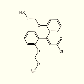 COCOc1ccccc1C(=CC(=O)O)c1ccccc1OCOC